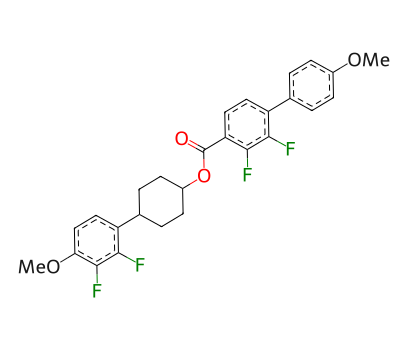 COc1ccc(-c2ccc(C(=O)OC3CCC(c4ccc(OC)c(F)c4F)CC3)c(F)c2F)cc1